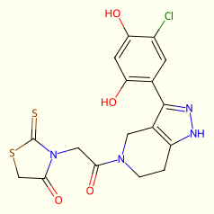 O=C(CN1C(=O)CSC1=S)N1CCc2[nH]nc(-c3cc(Cl)c(O)cc3O)c2C1